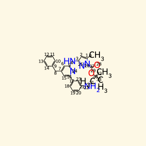 Cc1cc(Nc2cc(Cc3ccccc3)cc(-c3cccc(N)c3)n2)nn1C(=O)OC(C)(C)C